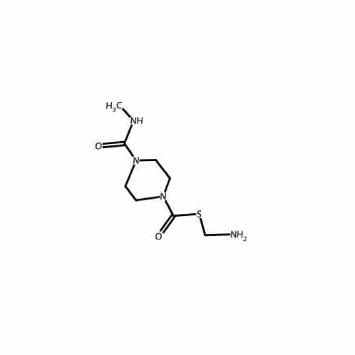 CNC(=O)N1CCN(C(=O)SCN)CC1